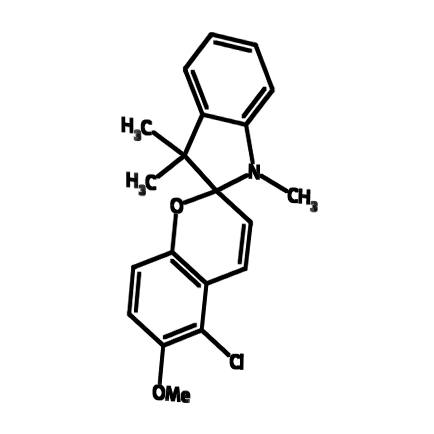 COc1ccc2c(c1Cl)C=CC1(O2)N(C)c2ccccc2C1(C)C